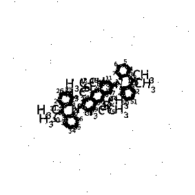 CC1(C)c2ccccc2N(c2ccc3c([Si](C)(C)C)c4cc(N5c6ccccc6C(C)(C)c6ccccc65)ccc4c([Si](C)(C)C)c3c2)c2ccccc21